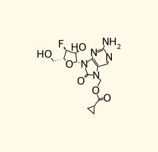 Nc1ncc2c(n1)n([C@@H]1O[C@H](CO)[C@@H](F)[C@H]1O)c(=O)n2COC(=O)C1CC1